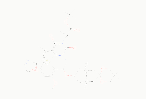 COc1ccccc1C(Cn1c(=O)n(C(C)(C)C(=O)OC(C)(C)C)c(=O)c2c(C)c(-c3ncco3)sc21)OC1C[C@@H]2CC3(C[C@@H]2C1)OCC(C)(C)CO3